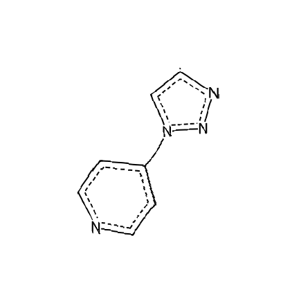 [c]1cn(-c2ccncc2)nn1